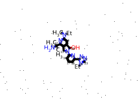 CCN(C)c1cc2c(c(C(C)(C)N)n1)CN(c1cccc(-c3nncn3CC)n1)C2O